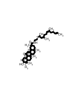 CC=CCCC(C)=CCCC(C)=CC(C)SCCNC(=O)C1(C)CC[C@]2(C)CC[C@]3(C)C(=CC(=O)[C@@H]4[C@@]5(C)CC[C@H](O)C(C)(C)C5CC[C@]43C)[C@@H]2C1